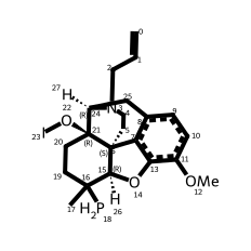 C=CCN1CC[C@]23c4c5ccc(OC)c4O[C@H]2C(C)(P)CC[C@]3(OI)[C@H]1C5